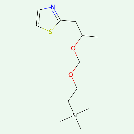 CC(Cc1nccs1)OCOCC[Si](C)(C)C